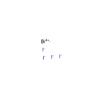 [Bi+4].[I-].[I-].[I-].[I-]